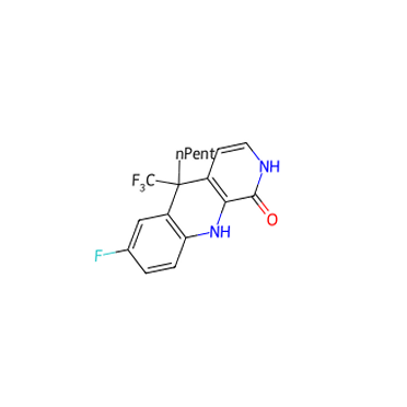 CCCCCC1(C(F)(F)F)c2cc(F)ccc2Nc2c1cc[nH]c2=O